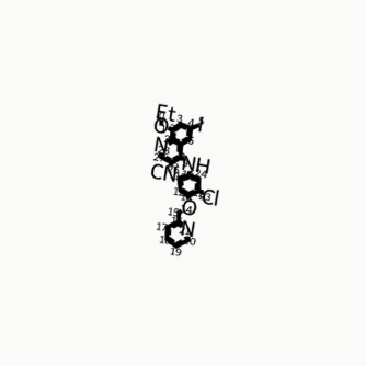 CCOc1cc(I)cc2c(Nc3ccc(OCc4ccccn4)c(Cl)c3)c(C#N)cnc12